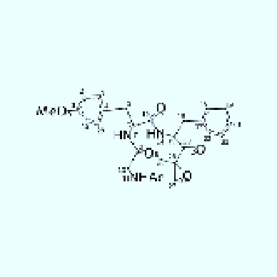 COc1ccc(CC(NC(=O)CNC(C)=O)C(=O)NC(Cc2ccccc2)C(=O)C2(C)CO2)cc1